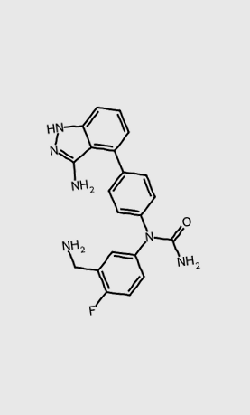 NCc1cc(N(C(N)=O)c2ccc(-c3cccc4[nH]nc(N)c34)cc2)ccc1F